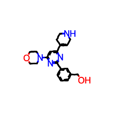 OCc1cccc(-c2nc(C3=CCNCC3)cc(N3CCOCC3)n2)c1